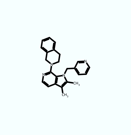 Cc1c(C)n(Cc2cccnc2)c2c(N3CCc4ccccc4C3)nccc12